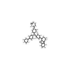 C1=CN(c2ccc(N(c3ccc(-c4ccccc4)cc3)c3ccc(-c4cccc5c4oc4ccccc45)cc3)cc2)CN=C1